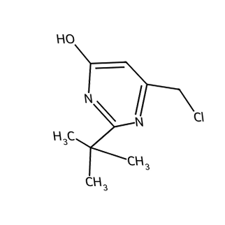 CC(C)(C)c1nc(O)cc(CCl)n1